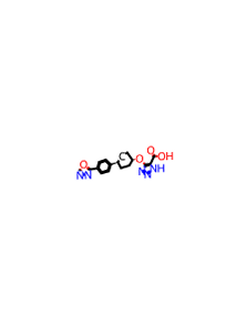 O=C(O)c1[nH]nnc1O[C@H]1CC[C@H](c2ccc(-c3nnco3)cc2)CC1